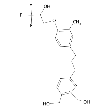 Cc1cc(CCCc2ccc(CO)c(CO)c2)ccc1OCC(O)C(F)(F)F